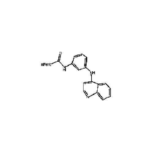 CCCCCC(=O)Nc1cccc(Nc2ccnc3ccccc23)c1